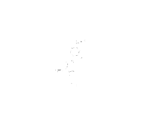 CCOC(=O)/C(C#N)=C\Nc1ccc(NO)cc1Cl